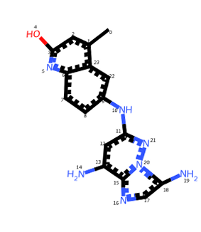 Cc1cc(O)nc2ccc(Nc3cc(N)c4ncc(N)n4n3)cc12